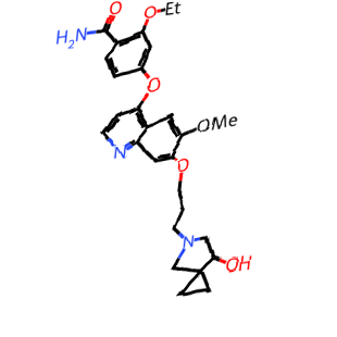 CCOc1cc(Oc2ccnc3cc(OCCCN4CC(O)C5(CC5)C4)c(OC)cc23)ccc1C(N)=O